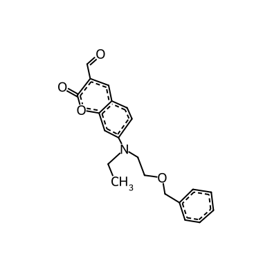 CCN(CCOCc1ccccc1)c1ccc2cc(C=O)c(=O)oc2c1